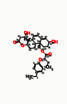 CCc1ccc(OC(CC)C(=O)O[C@H]2C[C@H](O)C=C3C=C[C@H](C)[C@H](CC[C@@H]4C[C@@H](O)CC(=O)O4)[C@H]32)cc1